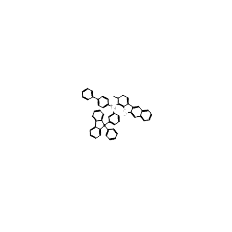 CC1CC=c2c(sc3cc4ccccc4cc23)=C1N(c1ccc(-c2ccccc2)cc1)c1cccc(C2(c3ccccc3)c3ccccc3-c3ccccc32)c1